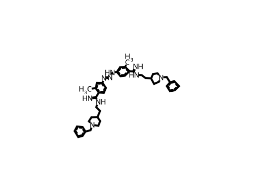 Cc1cc(/N=N/Nc2ccc(C(=N)NCCC3CCN(Cc4ccccc4)CC3)c(C)c2)ccc1C(=N)NCCC1CCN(Cc2ccccc2)CC1